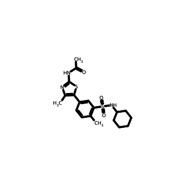 CC(=O)Nc1nc(C)c(-c2ccc(C)c(S(=O)(=O)NC3CCCCC3)c2)s1